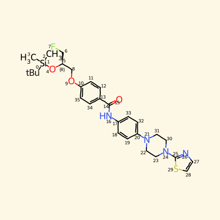 CC(C)(C)[Si](C)(C)O[C@@H](CF)COc1ccc(C(=O)Nc2ccc(N3CCN(c4nccs4)CC3)cc2)cc1